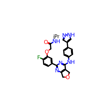 CC(C)NC(=O)COc1cc(-c2nc3c(c(Nc4ccc(-c5cn[nH]c5)cc4)n2)COC3)ccc1F